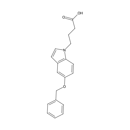 O=C(O)CCCn1ccc2cc(OCc3ccccc3)ccc21